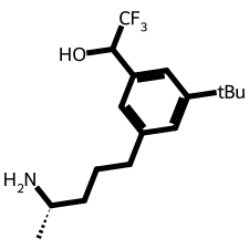 C[C@H](N)CCCc1cc(C(O)C(F)(F)F)cc(C(C)(C)C)c1